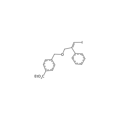 CCOC(=O)c1ccc(COCC(=CI)c2ccccc2)cc1